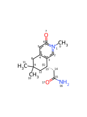 Cn1cc2c(cc1=O)CC(C)(C)C[C@H]2CC(N)=O